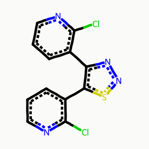 Clc1ncccc1-c1nnsc1-c1cccnc1Cl